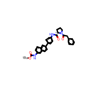 CC(C)(C)OC(=O)Nc1ccc2cc(-c3ccc(NC(=O)[C@@H]4CCCN4C(=O)Cc4ccccc4)cc3)ccc2c1